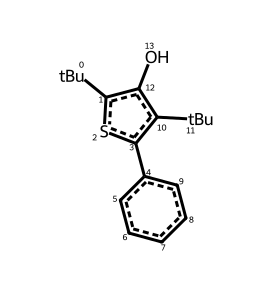 CC(C)(C)c1sc(-c2ccccc2)c(C(C)(C)C)c1O